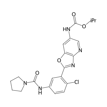 CC(C)OC(=O)Nc1cnc2nc(-c3cc(NC(=O)N4CCCC4)ccc3Cl)oc2c1